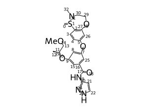 C=S1c2ccc(Oc3cc(O[C@@H](C)COC)cc(C(=O)Nc4cc[nH]n4)c3)cc2OCCN1C